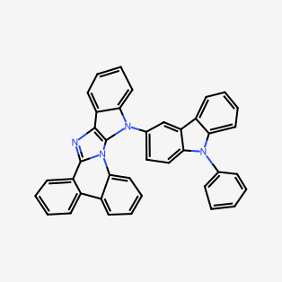 c1ccc(-n2c3ccccc3c3cc(-n4c5ccccc5c5nc6c7ccccc7c7ccccc7n6c54)ccc32)cc1